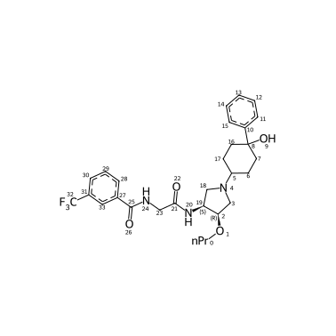 CCCO[C@@H]1CN(C2CCC(O)(c3ccccc3)CC2)C[C@@H]1NC(=O)CNC(=O)c1cccc(C(F)(F)F)c1